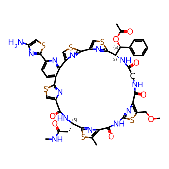 CNC(=O)C[C@@H]1NC(=O)c2csc(n2)-c2ccc(-c3nc(N)cs3)nc2-c2csc(n2)-c2csc(n2)[C@H]([C@@H](OC(C)=O)c2ccccc2)NC(=O)CNC(=O)c2nc(sc2COC)NC(=O)c2nc1sc2C